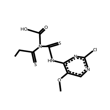 CCC(=S)N(C(=O)O)C(=S)Nc1nc(Cl)ncc1OC